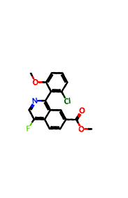 COC(=O)c1ccc2c(F)cnc(-c3c(Cl)cccc3OC)c2c1